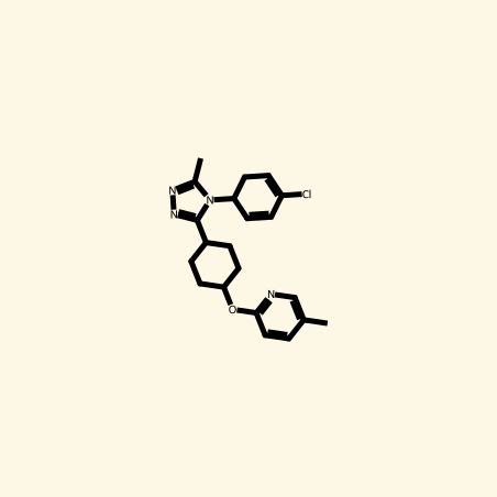 Cc1ccc(OC2CCC(c3nnc(C)n3C3C=CC(Cl)=CC3)CC2)nc1